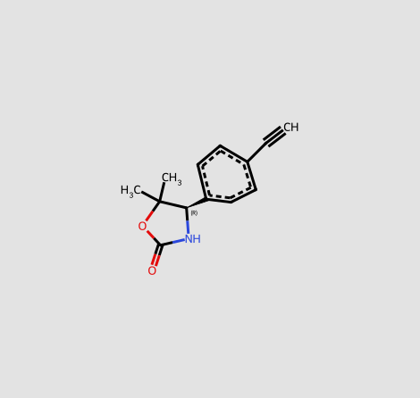 C#Cc1ccc([C@H]2NC(=O)OC2(C)C)cc1